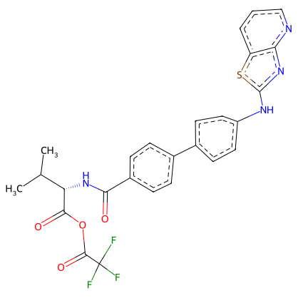 CC(C)[C@H](NC(=O)c1ccc(-c2ccc(Nc3nc4ncccc4s3)cc2)cc1)C(=O)OC(=O)C(F)(F)F